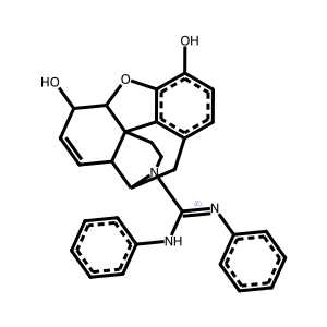 Oc1ccc2c3c1OC1C(O)C=CC4C(C2)N(/C(=N/c2ccccc2)Nc2ccccc2)CCC341